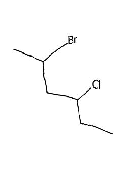 CCC(Cl)CC(C)Br